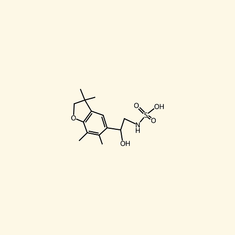 Cc1c(C(O)CNS(=O)(=O)O)cc2c(c1C)OCC2(C)C